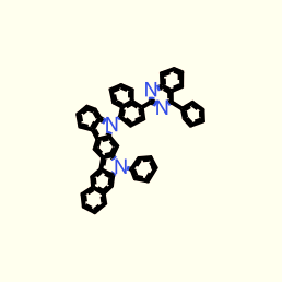 c1ccc(-c2nc(-c3ccc(-n4c5ccccc5c5cc6c7cc8ccccc8cc7n(-c7ccccc7)c6cc54)c4ccccc34)nc3ccccc23)cc1